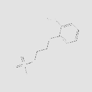 COc1ccccc1OCCOS(C)(=O)=O